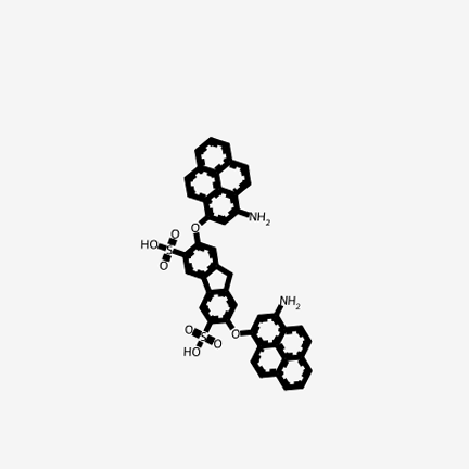 Nc1cc(Oc2cc3c(cc2S(=O)(=O)O)-c2cc(S(=O)(=O)O)c(Oc4cc(N)c5ccc6cccc7ccc4c5c67)cc2C3)c2ccc3cccc4ccc1c2c43